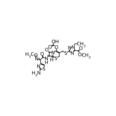 CCn1nc(SCC2=C(OC(=O)O)N3C(=O)[C@@H](NC(=O)/C(=N\OC)c4csc(N)n4)[C@H]3SC2)nc1C(=O)OC